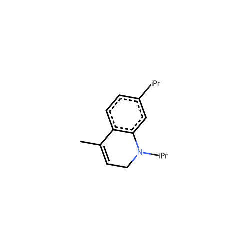 CC1=CCN(C(C)C)c2cc(C(C)C)ccc21